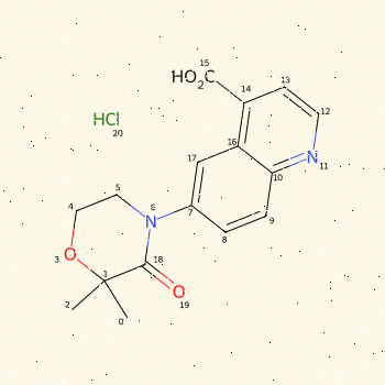 CC1(C)OCCN(c2ccc3nccc(C(=O)O)c3c2)C1=O.Cl